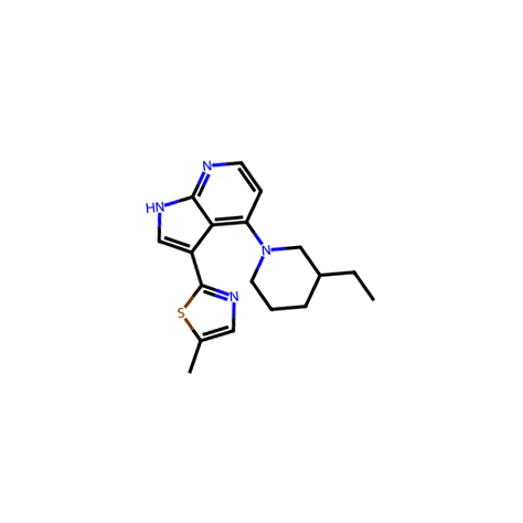 CCC1CCCN(c2ccnc3[nH]cc(-c4ncc(C)s4)c23)C1